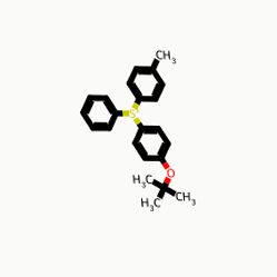 Cc1ccc([S+](c2ccccc2)c2ccc(OC(C)(C)C)cc2)cc1